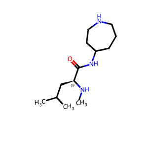 CN[C@@H](CC(C)C)C(=O)NC1CCCNCC1